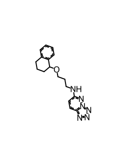 c1ccc2c(c1)CCCC2OCCCNc1ccc2nnnn2n1